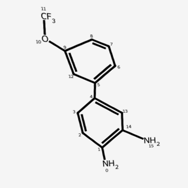 Nc1ccc(-c2cccc(OC(F)(F)F)c2)cc1N